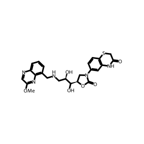 COc1cnc2cccc(CNC[C@@H](O)C(O)[C@H]3CN(c4ccc5c(c4)NC(=O)CS5)C(=O)O3)c2n1